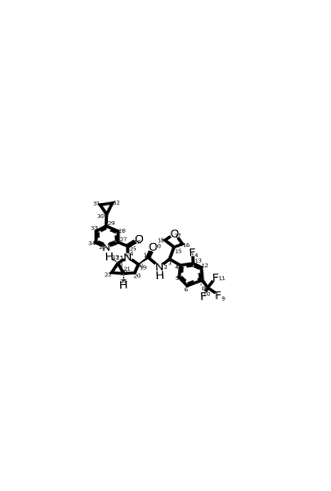 O=C(NC(c1ccc(C(F)(F)F)cc1F)C1COC1)[C@H]1C[C@H]2C[C@H]2N1C(=O)c1cc(C2CC2)ccn1